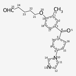 Cc1cc(C(=O)c2ccc(-n3ccnc3)cc2)ccc1OCCCCC=O